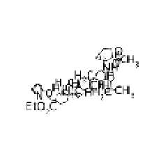 C=C(C)[C@@H]1CC[C@]2(NCC[C@]34CC[C@H](S(C)(=O)=O)CC3C4)CC[C@]3(C)[C@H](CC[C@@H]4[C@@]5(C)CC=C(C6=CCC(COc7ccccn7)(C(=O)OCC)CC6)C(C)(C)[C@@H]5CC[C@]43C)[C@@H]12